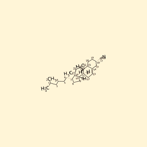 CC(C)CCCC[C@H]1CC[C@H]2[C@@H]3CC=C4C[C@@H](C#N)CC[C@]4(C)[C@H]3CC[C@]12C